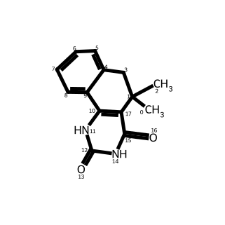 CC1(C)Cc2ccccc2-c2[nH]c(=O)[nH]c(=O)c21